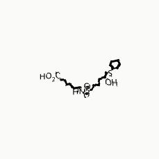 O=C(O)CCCCCCNS(=O)(=O)CCCCC(O)CSc1ccccc1